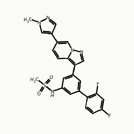 Cn1cc(-c2ccc3c(-c4cc(NS(C)(=O)=O)cc(-c5ccc(F)cc5F)c4)cnn3c2)cn1